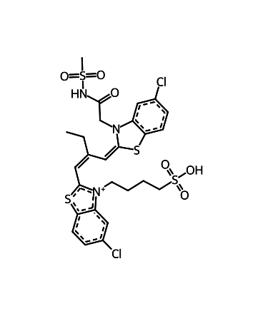 CCC(=Cc1sc2ccc(Cl)cc2[n+]1CCCCS(=O)(=O)O)C=C1Sc2ccc(Cl)cc2N1CC(=O)NS(C)(=O)=O